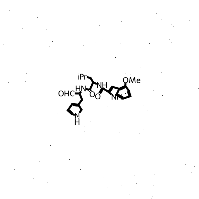 COc1cccc2[nH]c(C(=O)NC(CC(C)C)C(=O)NC(C=O)CC3=CC=CNC3)cc12